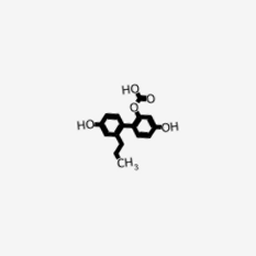 CCCc1cc(O)ccc1-c1ccc(O)cc1OC(=O)O